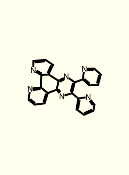 c1ccc(-c2nc3c4cccnc4c4ncccc4c3nc2-c2ccccn2)nc1